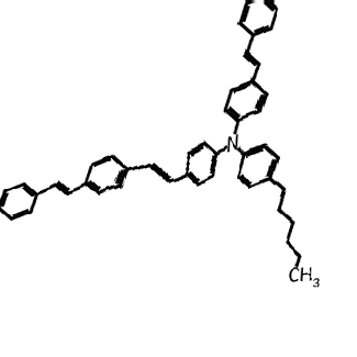 CCCCCCc1ccc(N(c2ccc(/C=C/c3ccccc3)cc2)c2ccc(/C=C/c3ccc(/C=C/c4ccccc4)cc3)cc2)cc1